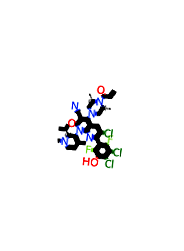 C=CC(=O)N1[C@H](C)CN(c2c(C#N)c(=O)n(C3=C(C)C=CN(C)[C@@H]3C(C)C)c3nc(-c4c(F)c(O)c(Cl)c(Cl)c4F)c(Cl)cc23)C[C@@H]1C